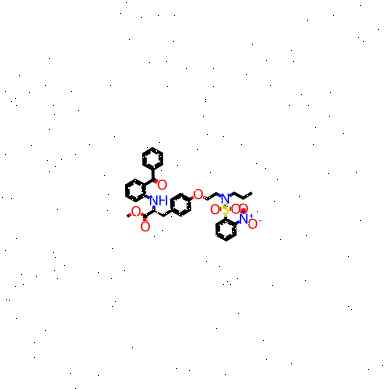 CCCN(CCOc1ccc(C[C@H](Nc2ccccc2C(=O)c2ccccc2)C(=O)OC)cc1)S(=O)(=O)c1ccccc1[N+](=O)[O-]